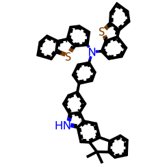 CC1(C)c2ccccc2-c2cc3c(cc21)[nH]c1ccc(-c2ccc(N(c4cccc5c4sc4ccccc45)c4cccc5c4sc4ccccc45)cc2)cc13